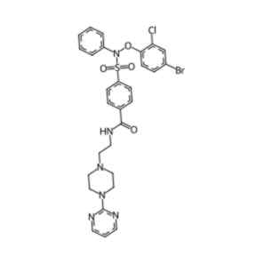 O=C(NCCN1CCN(c2ncccn2)CC1)c1ccc(S(=O)(=O)N(Oc2ccc(Br)cc2Cl)c2ccccc2)cc1